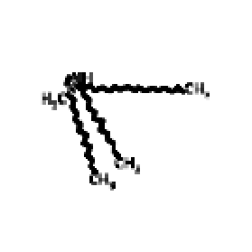 CCCCCCCCCCCCCCCCCC(CCCCCCCCCCCCC)c1[nH]cc[n+]1C(C)CCCCCCCCCCCCCC